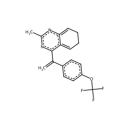 C=C(c1ccc(OC(F)(F)F)cc1)c1nc(C)nc2c1=CCCC=2